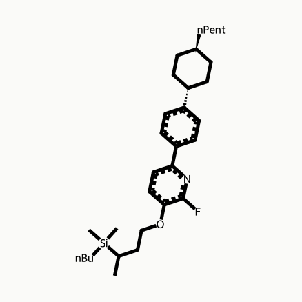 CCCCC[C@H]1CC[C@H](c2ccc(-c3ccc(OCCC(C)[Si](C)(C)CCCC)c(F)n3)cc2)CC1